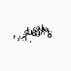 CC(C)N1CC(O)(C#Cc2ccc3c(c2)N(C)C(=O)[C@@H](NC(=O)c2cc(Oc4ccccc4)ccn2)CO3)C1